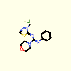 Cl.Cn1ncsc1=NC(=Nc1ccccc1)N1CCOCC1